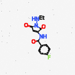 CCNN1C(=O)C=C(NC(=O)c2ccc(F)cc2)C1=O